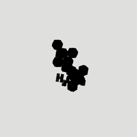 CC1(C)c2ccccc2-c2ccc3c4ccccc4n(-c4ccc5oc6c(-c7ccccc7-c7nc(-c8ccccc8)cc(-c8ccccc8)n7)cccc6c5c4)c3c21